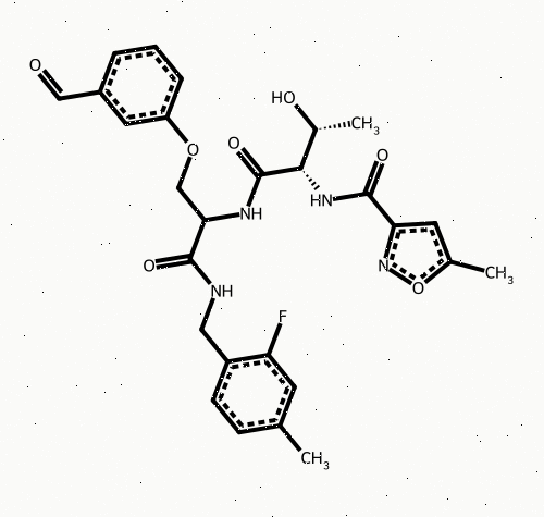 Cc1ccc(CNC(=O)C(COc2cccc(C=O)c2)NC(=O)[C@@H](NC(=O)c2cc(C)on2)[C@@H](C)O)c(F)c1